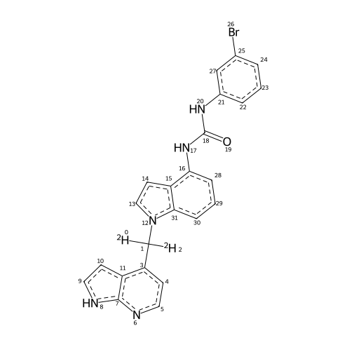 [2H]C([2H])(c1ccnc2[nH]ccc12)n1ccc2c(NC(=O)Nc3cccc(Br)c3)cccc21